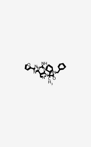 CC(C(=O)NCc1ccccc1)(c1ccccc1)n1ncc2c1nc(N)n1nc(-c3ccco3)nc21